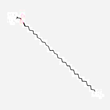 C=C(C)C(=O)OC=CCCCCCCCCCCCCCCCCCCCCCCCCCCCCCCCCCC